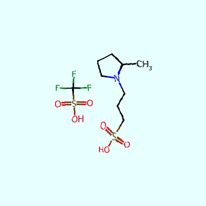 CC1CCCN1CCCS(=O)(=O)O.O=S(=O)(O)C(F)(F)F